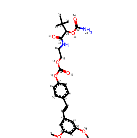 COc1cc(C=Cc2ccc(OC(=O)OCCNC(=O)C(OC(N)=O)C(C)(C)C)cc2)cc(OC)c1